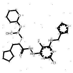 O=CN(C[C@@H](CC1CCCC1)C(=O)NNc1nc(Cl)nc(NCc2ccsc2)c1F)OC1CCCCO1